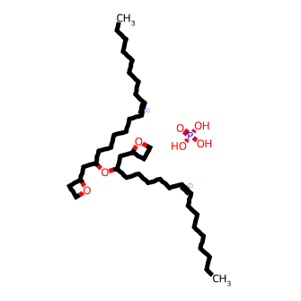 CCCCCCCC/C=C\CCCCCC(CC1CCO1)OC(CCCCC/C=C\CCCCCCCC)CC1CCO1.O=P(O)(O)O